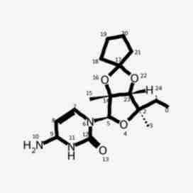 CC[C@@]1(C)O[C@@H](N2C=CC(N)NC2=O)[C@]2(C)OC3(CCCC3)O[C@@H]21